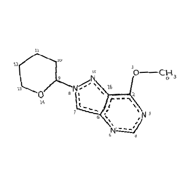 COc1ncnc2cn(C3CCCCO3)nc12